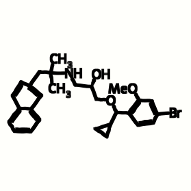 COc1cc(Br)ccc1C(OC[C@H](O)CNC(C)(C)Cc1ccc2ccccc2c1)C1CC1